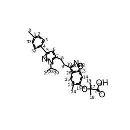 Cc1ccc(-c2cc(CCc3noc4cc(OC(C)(C)C(=O)O)c(C)cc34)n(C(C)C)n2)cc1